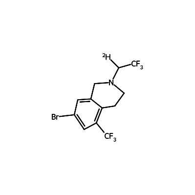 [2H]C(N1CCc2c(cc(Br)cc2C(F)(F)F)C1)C(F)(F)F